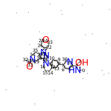 CNC(O)c1ccc(-c2ccc3c(c2)CCCN3c2nn(C3CCOCC3)c3c2CN(C(C)=O)CC3)cn1